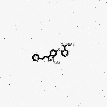 CNC(=O)c1ccccc1Sc1ccc2c(/C=C/c3ccccn3)nn(C(C)(C)C)c2c1